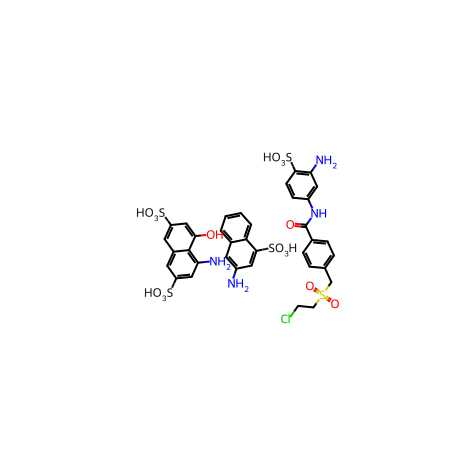 Nc1cc(NC(=O)c2ccc(CS(=O)(=O)CCCl)cc2)ccc1S(=O)(=O)O.Nc1cc(S(=O)(=O)O)c2ccccc2c1.Nc1cc(S(=O)(=O)O)cc2cc(S(=O)(=O)O)cc(O)c12